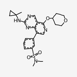 CN(C)S(=O)(=O)c1cccc(-c2cnc(OC3CCOCC3)c3cnc(NC4(C)CC4)nc23)c1